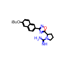 CC(C)COc1ccc2cc(-c3noc(C4CCCN4C(=N)N)n3)ccc2c1